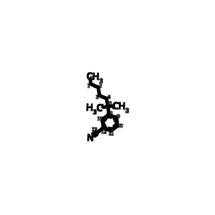 CCCCCC(C)(C)c1[c]ccc(C#N)c1